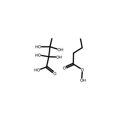 CC(O)(O)C(O)(O)C(=O)O.CCCC(=O)OO